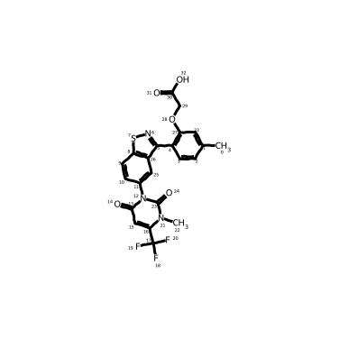 Cc1ccc(-c2nsc3ccc(-n4c(=O)cc(C(F)(F)F)n(C)c4=O)cc23)c(OCC(=O)O)c1